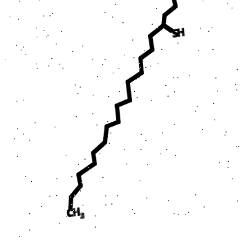 [CH2]CCC(S)CCCCCCCCCCCCCCCC